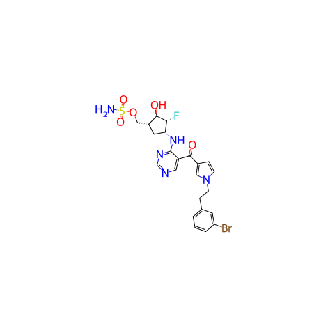 NS(=O)(=O)OC[C@H]1C[C@@H](Nc2ncncc2C(=O)c2ccn(CCc3cccc(Br)c3)c2)[C@@H](F)[C@@H]1O